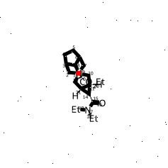 CCOC(=O)N1CC2CCC(C1)C2N1C[C@@H]2[C@H](C1)[C@H]2C(=O)N(CC)CC